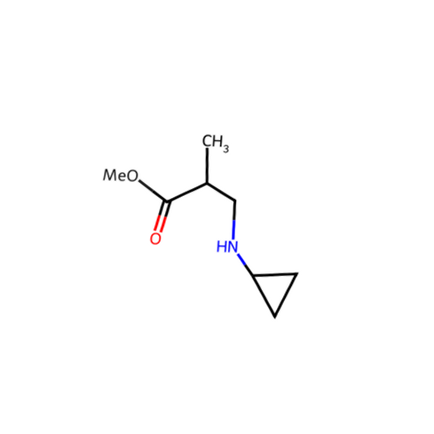 COC(=O)C(C)CNC1CC1